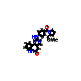 COC[C@@H]1CCCN1C(=O)c1ccc(Nc2ncc3c(n2)-c2ccccc2NC(=O)C3)cc1